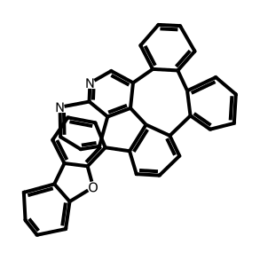 c1ccc2c(c1)-c1ccccc1-c1cnc3ncccc3c1-c1c-2cccc1-c1cccc2c1oc1ccccc12